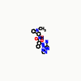 CCn1c2ccccc2c2cc(NC(=O)c3cc4ccccc4c(/N=N/c4c(C#N)cnn4-c4ncccn4)c3O)ccc21